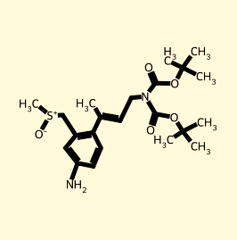 C/C(=C\CN(C(=O)OC(C)(C)C)C(=O)OC(C)(C)C)c1ccc(N)cc1C[S+](C)[O-]